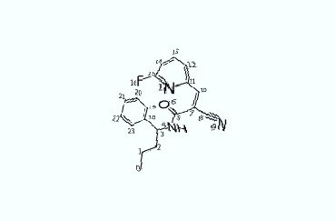 CCCC(NC(=O)C(C#N)=Cc1cccc(F)n1)c1ccccc1